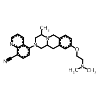 CC1CN(c2ccc(C#N)c3ncccc23)CC2Cc3cc(OCCN(C)C)ccc3CN12